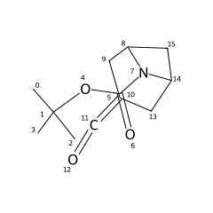 CC(C)(C)OC(=O)N1C2CC(=C=O)CC1C2